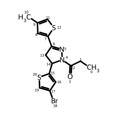 CCC(=O)N1N=C(c2cc(C)cs2)CC1c1cc(Br)cs1